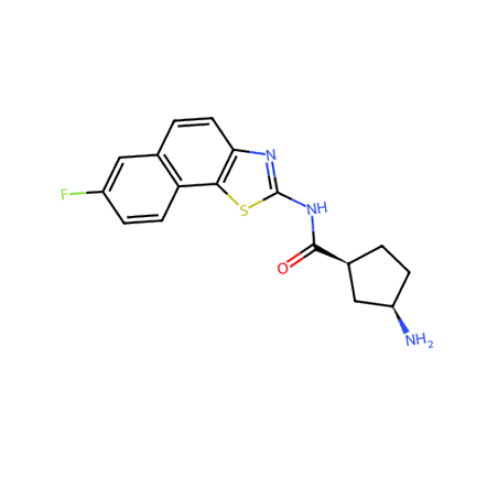 N[C@@H]1CC[C@H](C(=O)Nc2nc3ccc4cc(F)ccc4c3s2)C1